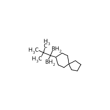 BC(B)(C1CCC2(CCCC2)CC1)C(C)(C)C